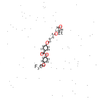 CCC1(COCCCCOc2ccc(C(=O)Oc3ccc(OC(F)(F)F)cc3)cc2)COC1